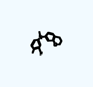 Cc1ccc(N(C)c2ccc3c(c2)OCCC3)cc1F